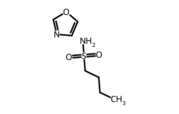 CCCCS(N)(=O)=O.c1cocn1